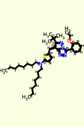 CCCCCCCCN(CCCCCCCC)c1ccc(/C=c2/c(C(C)(C)C)nn3c(-c4ccccc4OCC)nnc23)s1